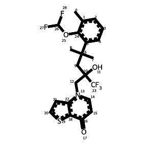 Cc1cccc(C(C)(C)CC(O)(Cn2ccc(=O)c3sccc32)C(F)(F)F)c1OC(F)F